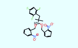 CC(C)(Cc1c(F)cc(F)cc1F)[SiH](OCc1ccccc1[N+](=O)[O-])OCc1ccccc1[N+](=O)[O-]